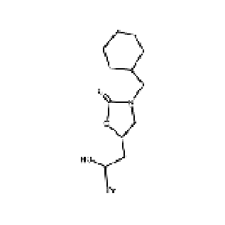 CC(C)C(O)CC1CN(CC2CCCCC2)C(=O)O1